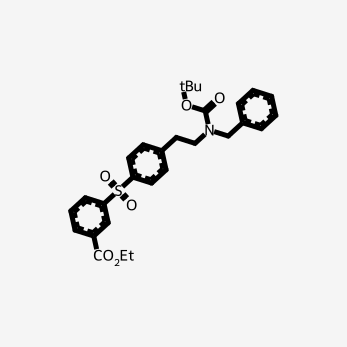 CCOC(=O)c1cccc(S(=O)(=O)c2ccc(CCN(Cc3ccccc3)C(=O)OC(C)(C)C)cc2)c1